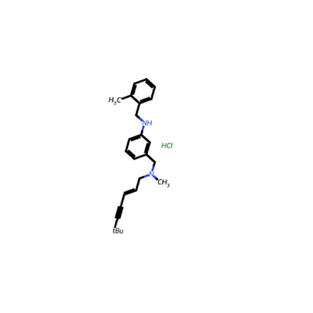 Cc1ccccc1CNc1cccc(CN(C)CC=CC#CC(C)(C)C)c1.Cl